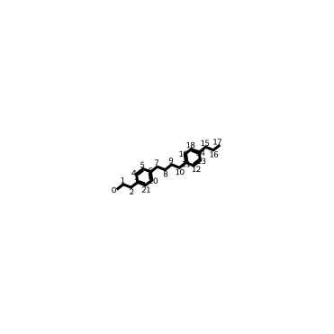 CCCc1ccc(CCCCc2ccc(CCC)cc2)cc1